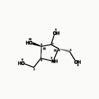 OCC1N[C@@H](CO)C(O)[C@@H]1O